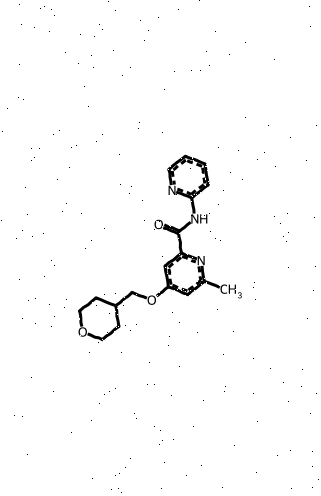 Cc1cc(OCC2CCOCC2)cc(C(=O)Nc2ccccn2)n1